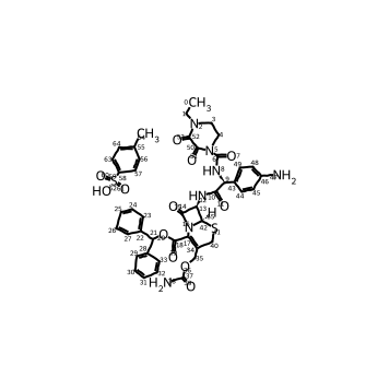 CCN1CCN(C(=O)N[C@H](C(=O)N[C@@H]2C(=O)N3C(C(=O)OC(c4ccccc4)c4ccccc4)=C(COC(N)=O)CS[C@H]23)c2ccc(N)cc2)C(=O)C1=O.Cc1ccc(S(=O)(=O)O)cc1